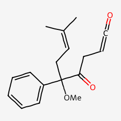 COC(CC=C(C)C)(C(=O)CC=C=O)c1ccccc1